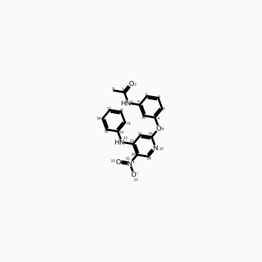 CC(=O)Nc1cccc(Oc2cc(Nc3ccccc3)c([N+](=O)[O-])cn2)c1